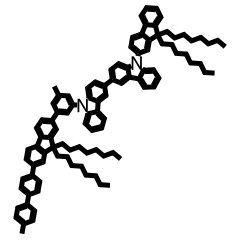 CCCCCCCCC1(CCCCCCCC)c2cc(-c3ccc(-c4ccc(C)cc4)cc3)ccc2-c2ccc(-c3cc(C)cc(-n4c5ccccc5c5cc(-c6ccc7c(c6)c6ccccc6n7-c6ccc7c(c6)C(CCCCCCCC)(CCCCCCCC)c6ccccc6-7)ccc54)c3)cc21